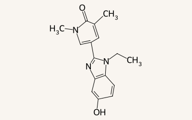 CCn1c(-c2cc(C)c(=O)n(C)c2)nc2cc(O)ccc21